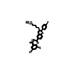 CC(NC(=O)c1ccc2nc(-c3ccc(F)cc3)c(CCCCC(=O)O)cc2c1)c1cc(Cl)cc(Cl)c1